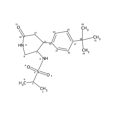 CC(C)S(=O)(=O)NC1CNC(=O)CC1c1ccc(C(C)(C)C)cc1